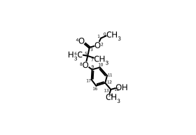 CCOC(=O)C(C)(C)Oc1ccc(C(C)O)cc1